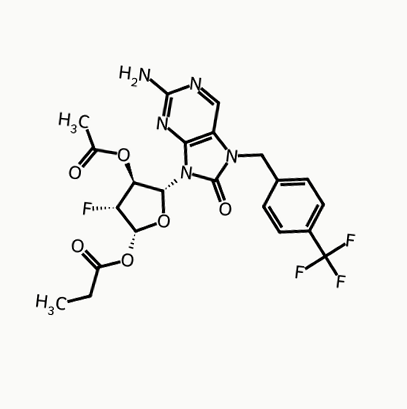 CCC(=O)O[C@H]1O[C@@H](n2c(=O)n(Cc3ccc(C(F)(F)F)cc3)c3cnc(N)nc32)[C@H](OC(C)=O)[C@H]1F